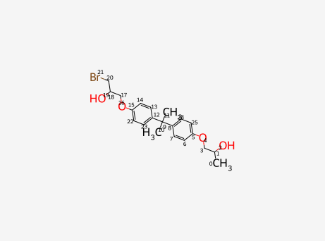 CC(O)COc1ccc(C(C)(C)c2ccc(OCC(O)CBr)cc2)cc1